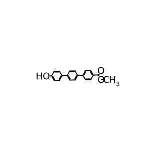 COC(=O)c1ccc(-c2ccc(-c3ccc(O)cc3)cc2)cc1